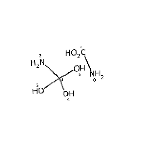 NC(=O)O.NC(O)(O)O